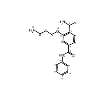 CC(N)c1ccc(C(=O)Nc2ccncc2)cc1OCCCN